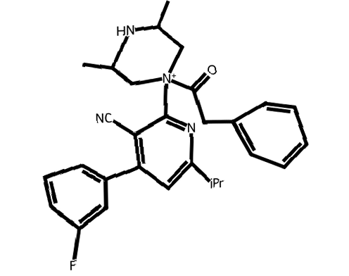 CC1C[N+](C(=O)Cc2ccccc2)(c2nc(C(C)C)cc(-c3cccc(F)c3)c2C#N)CC(C)N1